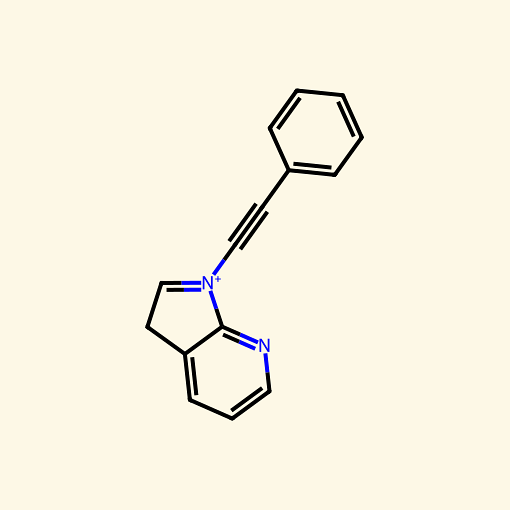 C(#C[N+]1=CCc2cccnc21)c1ccccc1